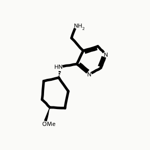 CO[C@H]1CC[C@H](Nc2ncncc2CN)CC1